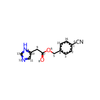 N#Cc1ccc(COC(=O)Cc2cnc[nH]2)cc1